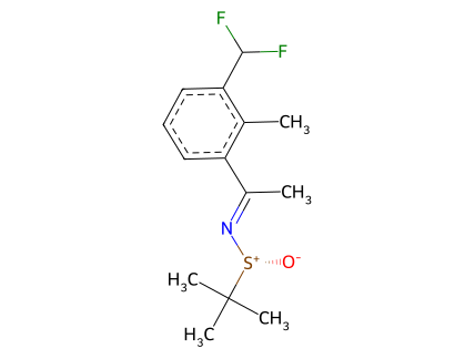 C/C(=N\[S@+]([O-])C(C)(C)C)c1cccc(C(F)F)c1C